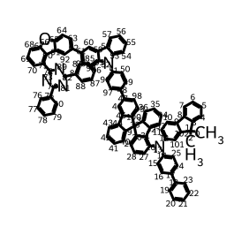 CC1(C)c2ccccc2-c2ccc(N(c3ccc(-c4ccccc4)cc3)c3cccc4c3-c3ccccc3C43c4ccccc4-c4cc(-c5ccc(-n6c7ccccc7c7cc(-c8ccc9oc%10cccc(-c%11nc(-c%12ccccc%12)nc(-c%12ccccc%12)n%11)c%10c9c8)ccc76)cc5)ccc43)cc21